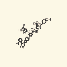 CC(C)c1ccccc1[C@@H]1CO[C@@H](C)CN1C1CC2(CCN(c3ccc(C(=O)NS(=O)(=O)c4cnc(NCC5CCC(C)(O)CC5)c([N+](=O)[O-])c4)c(Oc4cnc5[nH]cc(F)c5c4)c3)CC2)C1